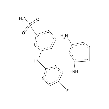 Nc1cccc(Nc2nc(Nc3cccc(S(N)(=O)=O)c3)ncc2F)c1